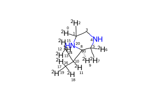 [2H]C1([2H])CNC([2H])([2H])[C@@]([2H])(C([2H])(C([2H])([2H])[2H])C([2H])([2H])[2H])N1